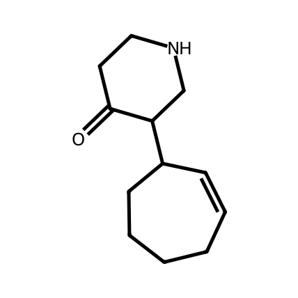 O=C1CCNCC1C1C=CCCCC1